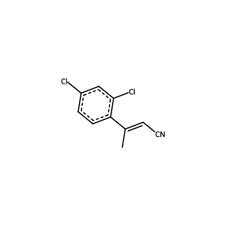 CC(=CC#N)c1ccc(Cl)cc1Cl